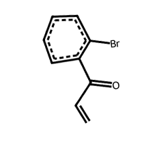 C=CC(=O)c1ccccc1Br